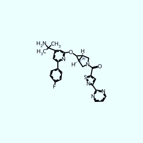 CC(C)(N)c1cc(OC2[C@H]3CN(C(=O)c4cc(-c5ncccn5)ns4)C[C@@H]23)nc(-c2ccc(F)cc2)c1